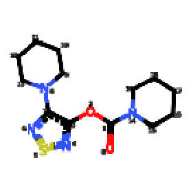 O=C(Oc1nsnc1N1CCCCC1)N1CCCCC1